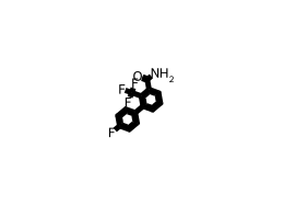 NC(=O)c1cccc(-c2ccc(F)cc2)c1C(F)(F)F